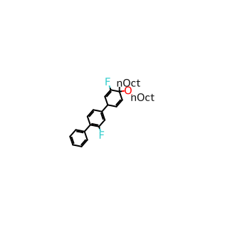 CCCCCCCCOC1(CCCCCCCC)C=CC(c2ccc(-c3ccccc3)c(F)c2)C=C1F